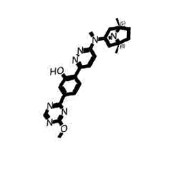 COc1ncnc(-c2ccc(-c3ccc(N(C)C4C[C@]5(C)CC[C@](C)(C4)N5C)nn3)c(O)c2)n1